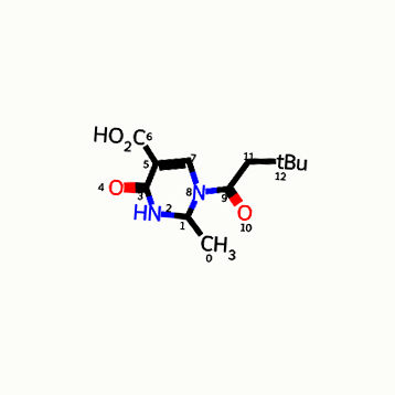 CC1NC(=O)C(C(=O)O)=CN1C(=O)CC(C)(C)C